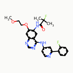 COCCOc1cc2ncnc(Nc3ccnc(-c4ccccc4F)c3)c2cc1NC(=O)C(C)(C)F